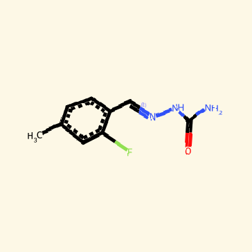 Cc1ccc(/C=N/NC(N)=O)c(F)c1